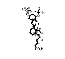 C=C1/C(=C\C(CC)=C2/CCC[C@]3(C)[C@@H]([C@H](C)CCCC(=O)O)CC[C@@H]23)C[C@@H](O[Si](C)(C)C(C)(C)C)C[C@@H]1O[Si](C)(C)C(C)(C)C